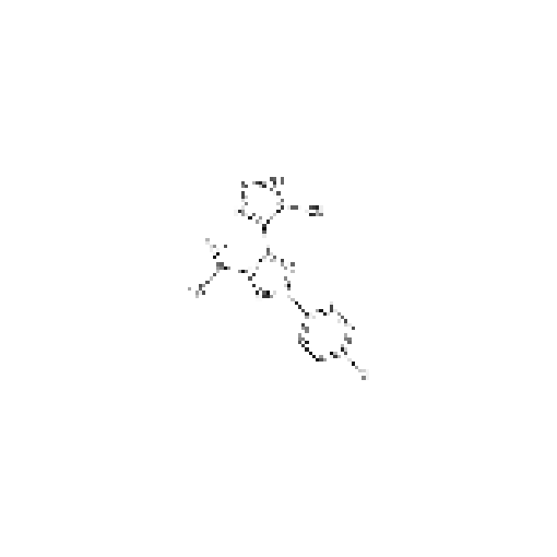 C=C(C)c1sc(-c2ccc(Cl)cn2)nc1-c1nn[nH]c1C#N